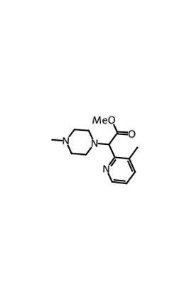 COC(=O)C(c1ncccc1C)N1CCN(C)CC1